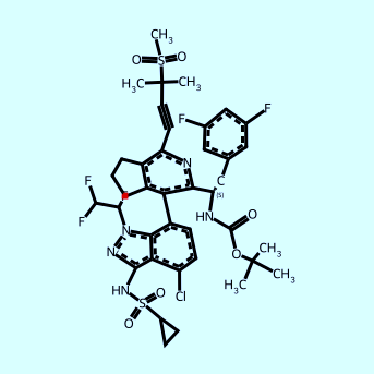 CC(C)(C)OC(=O)N[C@@H](Cc1cc(F)cc(F)c1)c1nc(C#CC(C)(C)S(C)(=O)=O)c2c(c1-c1ccc(Cl)c3c(NS(=O)(=O)C4CC4)nn(C(F)C(F)F)c13)CCC2